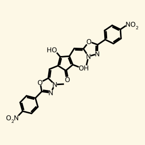 CN1N=C(c2ccc([N+](=O)[O-])cc2)O/C1=C/C1=C(O)C(/C=C2/OC(c3ccc([N+](=O)[O-])cc3)=NN2C)=C(O)C1=O